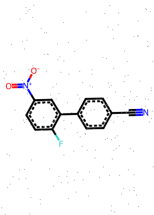 N#Cc1ccc(-c2cc([N+](=O)[O-])ccc2F)cc1